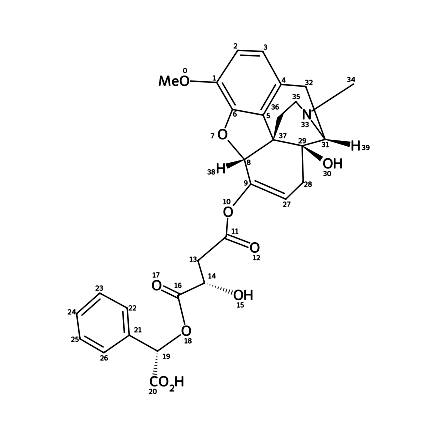 COc1ccc2c3c1O[C@H]1C(OC(=O)C[C@H](O)C(=O)O[C@H](C(=O)O)c4ccccc4)=CC[C@@]4(O)[C@@H](C2)N(C)CC[C@]314